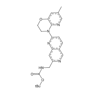 Cc1cnc2c(c1)OCCN2c1ccc2cnc(CNC(=O)OC(C)(C)C)cc2n1